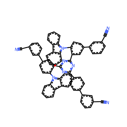 N#Cc1cccc(-c2ccc(-c3nc(-c4cc(-c5cccc(C#N)c5)ccc4-n4c5ccccc5c5ccccc54)nc(-c4cc(-c5cccc(C#N)c5)ccc4-n4c5ccccc5c5ccccc54)n3)cc2)c1